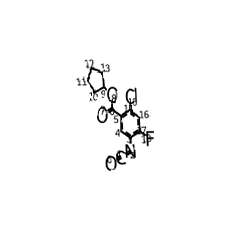 O=C=Nc1cc(C(=O)OC2CCCC2)c(Cl)cc1F